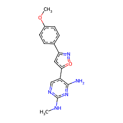 CNc1ncc(-c2cc(-c3ccc(OC)cc3)no2)c(N)n1